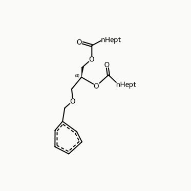 CCCCCCCC(=O)OC[C@H](COCc1ccccc1)OC(=O)CCCCCCC